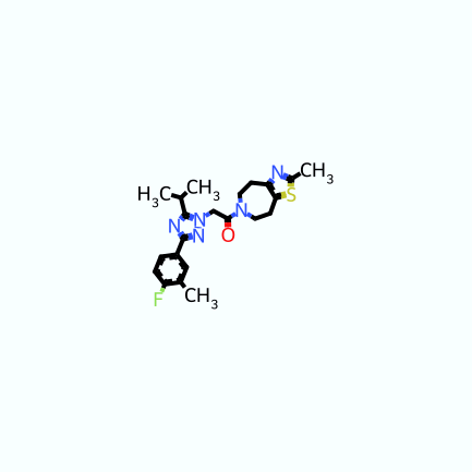 Cc1nc2c(s1)CCN(C(=O)Cn1nc(-c3ccc(F)c(C)c3)nc1C(C)C)CC2